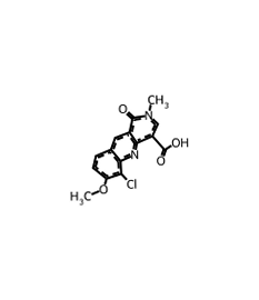 COc1ccc2cc3c(=O)n(C)cc(C(=O)O)c3nc2c1Cl